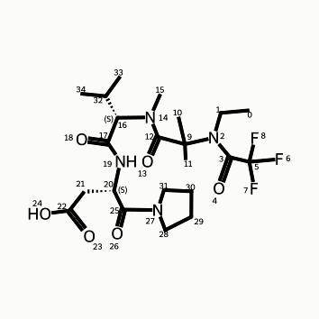 CCN(C(=O)C(F)(F)F)C(C)(C)C(=O)N(C)[C@H](C(=O)N[C@@H](CC(=O)O)C(=O)N1CCCC1)C(C)C